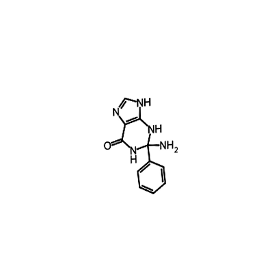 NC1(c2ccccc2)NC(=O)c2nc[nH]c2N1